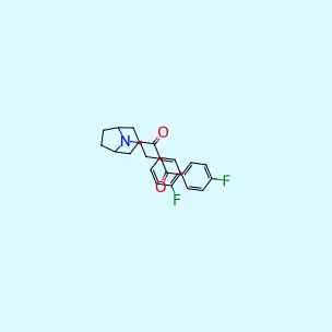 O=C(CCCN1C2CCC1CC(C(=O)c1ccc(F)cc1)C2)c1ccc(F)cc1